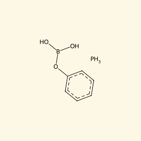 OB(O)Oc1ccccc1.P